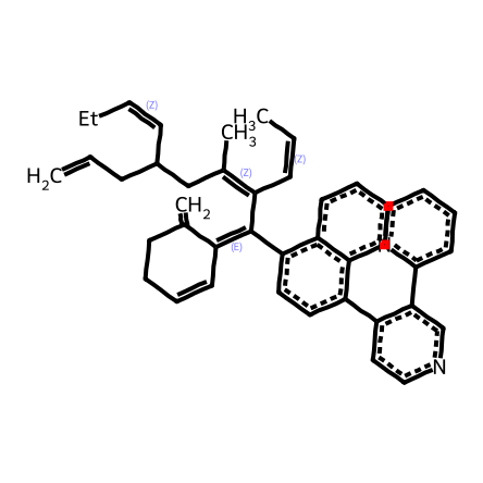 C=CCC(/C=C\CC)C/C(C)=C(/C=C\C)C(=C1\C=CCCC1=C)\c1ccc(-c2ccncc2-c2ccccn2)c2ccccc12